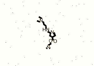 CCN(CC)CCCCNCC1=NC=CC(C(=O)OCCN(C)C)C1